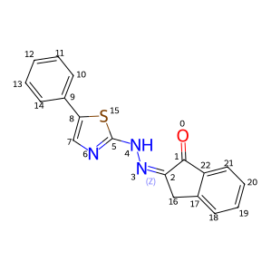 O=C1/C(=N\Nc2ncc(-c3ccccc3)s2)Cc2ccccc21